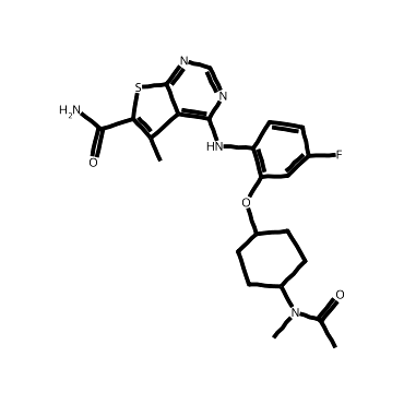 CC(=O)N(C)C1CCC(Oc2cc(F)ccc2Nc2ncnc3sc(C(N)=O)c(C)c23)CC1